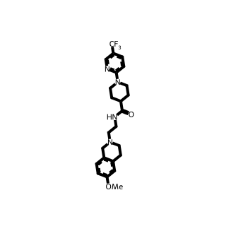 COc1ccc2c(c1)CCN(CCNC(=O)C1CCN(c3ccc(C(F)(F)F)cn3)CC1)C2